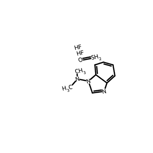 CN(C)n1cnc2ccccc21.F.F.O=[SH2]